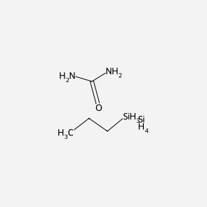 CCC[SiH3].NC(N)=O.[SiH4]